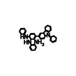 NC1=C(NC2C=C(C3=CC4C5=C(C=CCC5)N(C5=CC=CCC5)C4C=C3)C=CC2NC2=CC=CCC2)C=CCC1